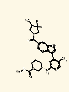 CC(C)(C)OC(=O)N1CCC[C@H](Nc2ncc(C(F)(F)F)c(-c3c[nH]c4cc(C(=O)N5CC(O)C(F)(F)C5)ccc34)n2)C1